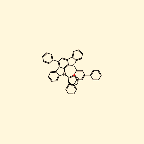 c1ccc(-c2cc(-c3ccccc3)cc(-n3c4ccccc4c4cc(-c5ccccc5)c5c6ccccc6n(-c6ccccc6)c5c43)c2)cc1